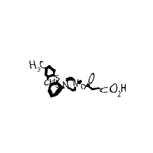 Cc1ccc(Sc2ccccc2N2CCN(COC(=O)CCC(=O)O)CC2)c(C)c1